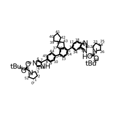 C[C@H]1C[C@@H](c2ncc(-c3ccc(-c4ccc(-c5ccc6nc([C@@H]7C[C@H](C)CN7C(=O)OC(C)(C)C)[nH]c6c5)c5c4CC4(CCCC4)C5)cc3)[nH]2)N(C(=O)OC(C)(C)C)C1